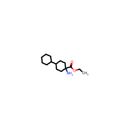 CCOC(=O)C1(N)CCC(C2CCCCC2)CC1